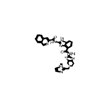 Cn1ccnc1CN1CCc2nc(NC(=O)c3cccc4[nH]c(NC(=O)c5cc6ccccc6cn5)nc34)sc2C1